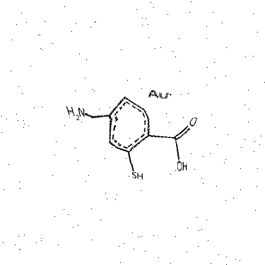 Nc1ccc(C(=O)O)c(S)c1.[Au]